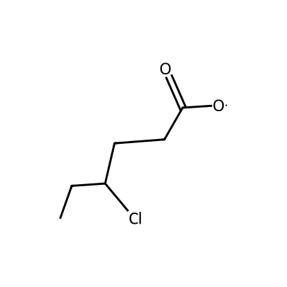 CCC(Cl)CCC([O])=O